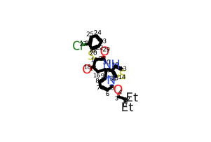 CCC(CC)COc1cccc(C2(c3ccsc3)CC(=O)C(Sc3ccccc3Cl)C(=O)N2)n1